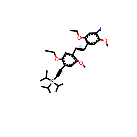 CCOc1cc(/C=C/c2cc(OC)c(I)cc2OCC)c(OC)cc1C#C[Si](C(C)C)(C(C)C)C(C)C